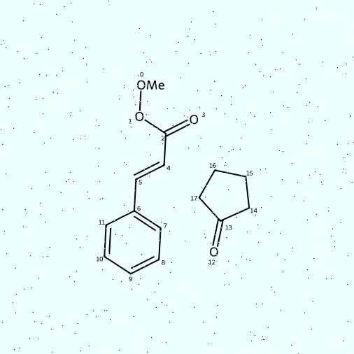 COOC(=O)C=Cc1ccccc1.O=C1CCCC1